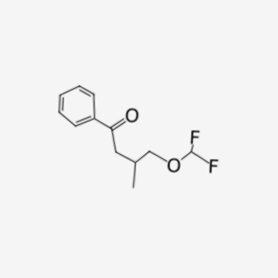 CC(COC(F)F)CC(=O)c1ccccc1